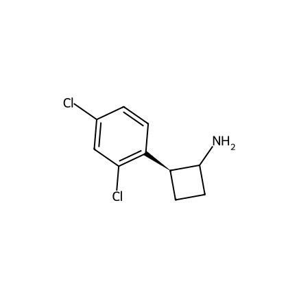 NC1CC[C@H]1c1ccc(Cl)cc1Cl